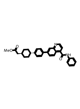 COC(=O)C[C@H]1CC[C@H](c2ccc(-c3ccc4c(C(=O)Nc5ccccc5)ccnc4c3)cc2)CC1